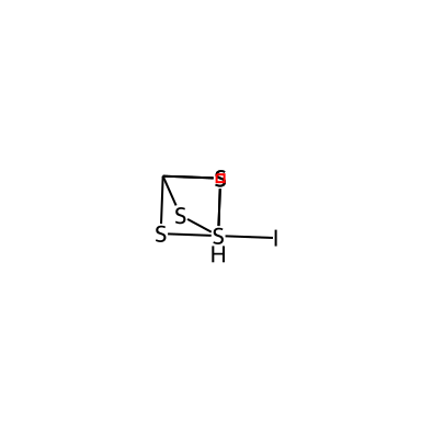 I[SH]123SC(S1)(S2)S3